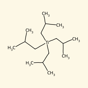 CC(C)[CH2][Ti]([CH2]C(C)C)([CH2]C(C)C)[CH2]C(C)C